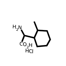 CC1CCCCC1C(N)C(=O)O.Cl